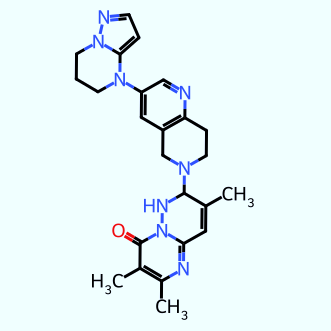 CC1=Cc2nc(C)c(C)c(=O)n2NC1N1CCc2ncc(N3CCCn4nccc43)cc2C1